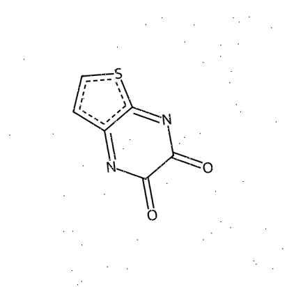 O=C1N=c2ccsc2=NC1=O